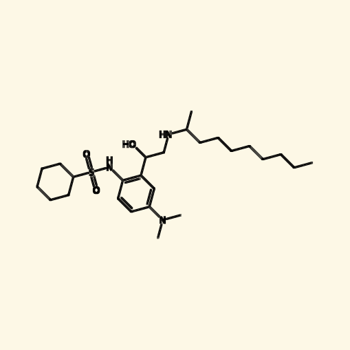 CCCCCCCCC(C)NCC(O)c1cc(N(C)C)ccc1NS(=O)(=O)C1CCCCC1